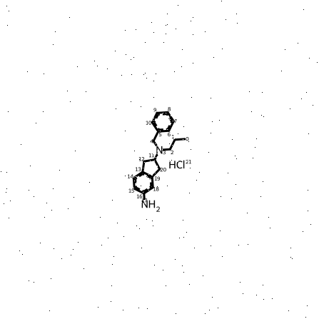 CCCN(Cc1ccccc1)C1Cc2ccc(N)cc2C1.Cl